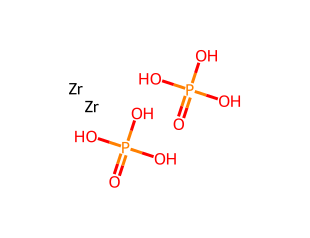 O=P(O)(O)O.O=P(O)(O)O.[Zr].[Zr]